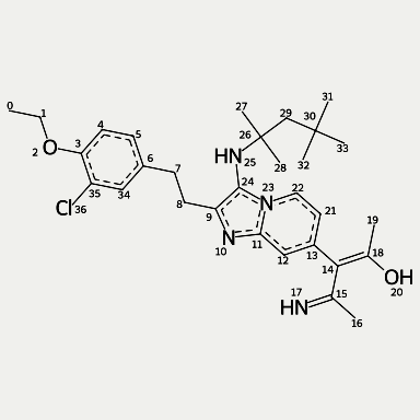 CCOc1ccc(CCc2nc3cc(/C(C(C)=N)=C(\C)O)ccn3c2NC(C)(C)CC(C)(C)C)cc1Cl